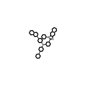 c1ccc(-c2ccc(N(c3ccc(-c4ccc5ccccc5c4)cc3)c3cccc(-c4nc5cc6ccccc6cc5n4-c4ccccc4)c3)cc2)cc1